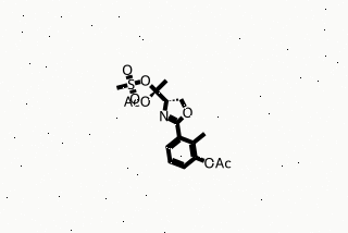 CC(=O)Oc1cccc(C2=N[C@H]([C@](C)(OC(C)=O)OS(C)(=O)=O)CO2)c1C